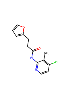 O=C(CCc1ccco1)Nc1nccc(Cl)c1[N+](=O)[O-]